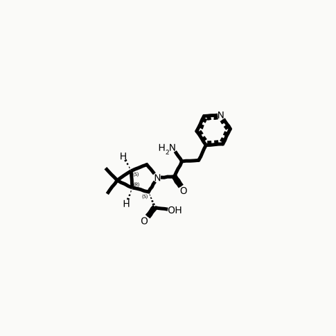 CC1(C)[C@@H]2[C@@H](C(=O)O)N(C(=O)C(N)Cc3ccncc3)C[C@@H]21